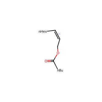 CCCCCC/C=C\COC(=O)CCCC